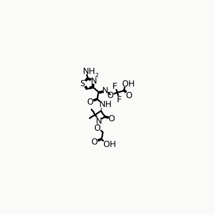 CC1(C)[C@H](NC(=O)/C(=N\OC(F)(F)C(=O)O)c2csc(N)n2)C(=O)N1OCC(=O)O